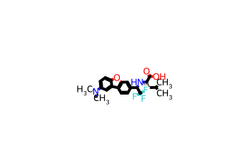 CC(C)C[C@H](NC(c1ccc2c(c1)oc1ccc(N(C)C)cc12)C(F)(F)F)C(=O)O